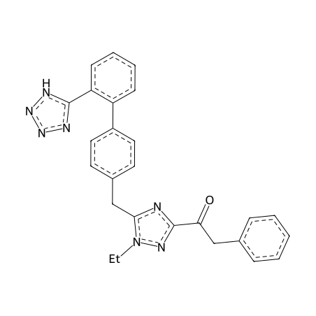 CCn1nc(C(=O)Cc2ccccc2)nc1Cc1ccc(-c2ccccc2-c2nnn[nH]2)cc1